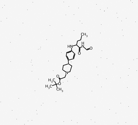 CCCC(Nc1ccc(C2CCN(CC(=O)OC(C)(C)C)CC2)cc1)C(=O)NC=O